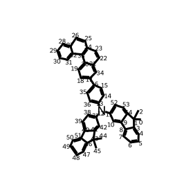 CC1(C)c2ccccc2-c2cc(N(c3ccc(-c4ccc5c(ccc6ccc7ccccc7c65)c4)cc3)c3ccc4c(c3)C(C)(C)c3ccccc3-4)ccc21